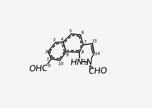 O=Cc1ccc2ccc3c(c2c1)NN(C=O)C=C3